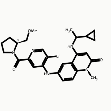 COC[C@@H]1CCCN1C(=O)c1cc(Nc2ccc3c(c2)c(NC(C)C2CC2)cc(=O)n3C)c(Cl)cn1